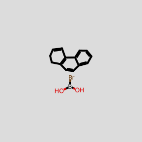 C1=Cc2c(ccc3ccccc23)CC1.OB(O)Br